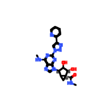 CNC(=O)[C@]12CC1[C@@H](n1cnc3c(NC)nc(-n4cc(-c5ccccn5)nn4)nc31)C(O)[C@@H]2O